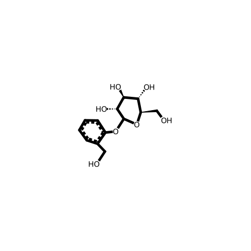 OCc1ccccc1OC1O[C@H](CO)[C@@H](O)[C@H](O)[C@H]1O